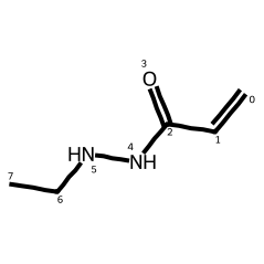 C=CC(=O)NNCC